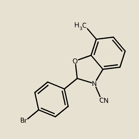 Cc1cccc2c1OC(c1ccc(Br)cc1)N2C#N